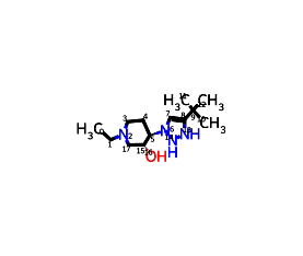 CCN1CC[C@@H](N2C=C(C(C)(C)C)NN2)[C@H](O)C1